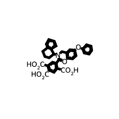 O=C(O)c1cc(C(=O)O)c(C(=O)N(Cc2cccc(Oc3ccccc3)c2)C2CCCc3ccccc32)cc1C(=O)O